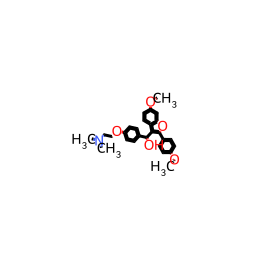 COc1ccc(-c2oc3cc(OC)ccc3c2C(O)c2ccc(OCCN(C)C)cc2)cc1